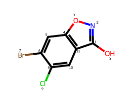 Oc1noc2cc(Br)c(Cl)cc12